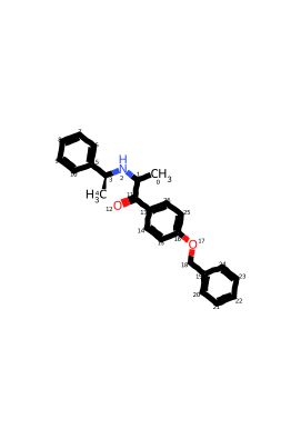 CC(N[C@@H](C)c1ccccc1)C(=O)c1ccc(OCc2ccccc2)cc1